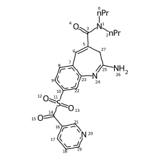 CCCN(CCC)C(=O)C1=Cc2ccc(S(=O)(=O)C(=O)c3cccnc3)cc2N=C(N)C1